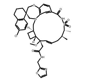 CO[C@@]1(CC(=O)NCc2ncco2)/C=C/C[C@H](C)[C@@H](C)S(=O)(=O)NC(=O)c2ccc3c(c2)N(C[C@@H]2CC[C@H]21)C[C@@]1(CCCc2cc(Cl)ccc21)CO3